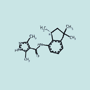 Cc1n[nH]c(C)c1C(=O)Nc1cccc2c1[C@H](C)CC2(C)C